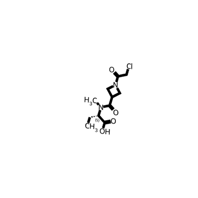 CC[C@@H](C(=O)O)N(C)C(=O)C1CN(C(=O)CCl)C1